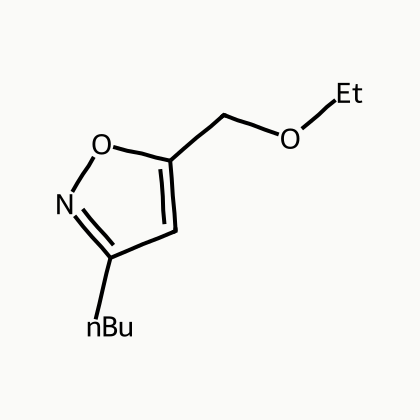 CCCCc1cc(COCC)on1